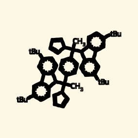 CC(C)(C)c1ccc2c(c1)-c1cc(C(C)(C)C)ccc1C2C(C)(c1ccc(C(C)(C2C=CC=C2)C2c3ccc(C(C)(C)C)cc3-c3cc(C(C)(C)C)ccc32)cc1)C1C=CC=C1